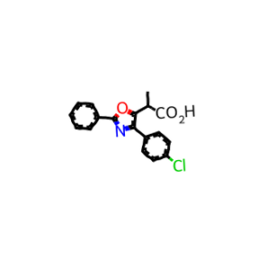 CC(C(=O)O)c1oc(-c2ccccc2)nc1-c1ccc(Cl)cc1